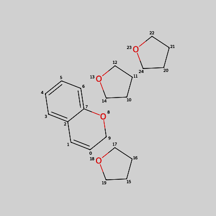 C1=Cc2ccccc2OC1.C1CCOC1.C1CCOC1.C1CCOC1